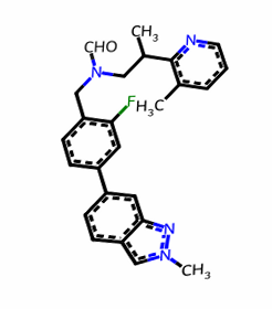 Cc1cccnc1C(C)CN(C=O)Cc1ccc(-c2ccc3cn(C)nc3c2)cc1F